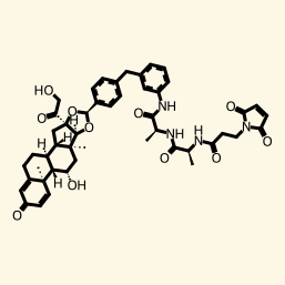 C[C@H](NC(=O)CCN1C(=O)C=CC1=O)C(=O)N[C@@H](C)C(=O)Nc1cccc(Cc2ccc([C@H]3O[C@H]4[C@@]5(C)C[C@H](O)[C@H]6[C@@H](CCC7=CC(=O)C=C[C@@]76C)[C@@H]5C[C@@]4(C(=O)CO)O3)cc2)c1